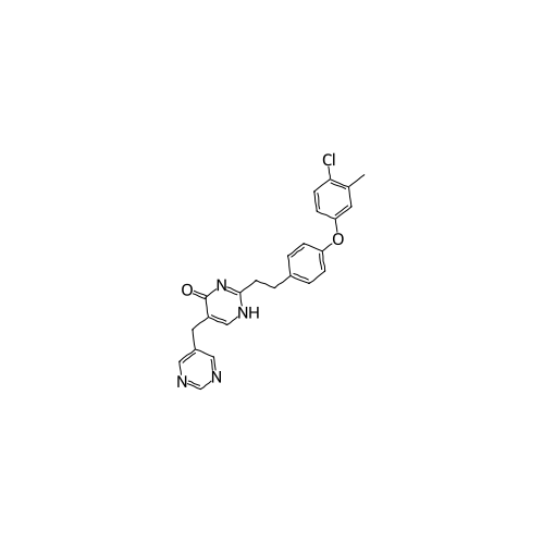 Cc1cc(Oc2ccc(CCc3nc(=O)c(Cc4cncnc4)c[nH]3)cc2)ccc1Cl